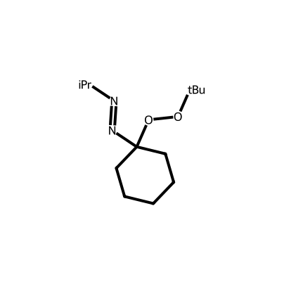 CC(C)/N=N/C1(OOC(C)(C)C)CCCCC1